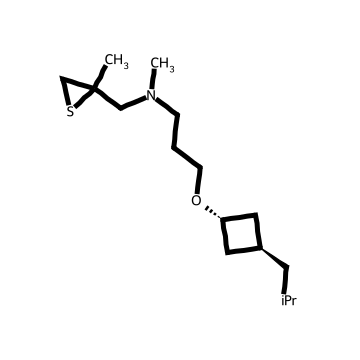 CC(C)C[C@H]1C[C@H](OCCCN(C)CC2(C)CS2)C1